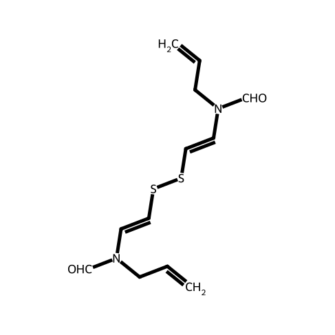 C=CCN(C=O)C=CSSC=CN(C=O)CC=C